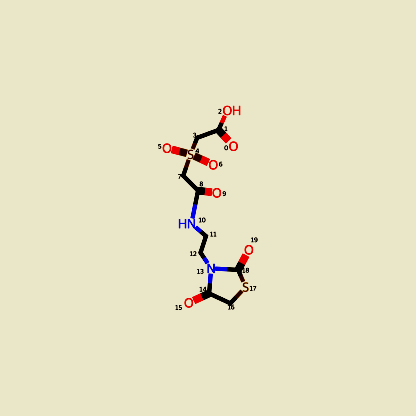 O=C(O)CS(=O)(=O)CC(=O)NCCN1C(=O)CSC1=O